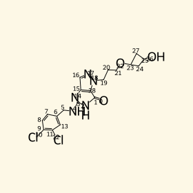 O=c1[nH]c(NCc2ccc(Cl)c(Cl)c2)nc2cnn(CCCOC3CC(O)C3)c12